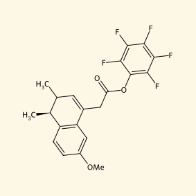 COc1ccc2c(c1)C(CC(=O)Oc1c(F)c(F)c(F)c(F)c1F)=CC(C)[C@@H]2C